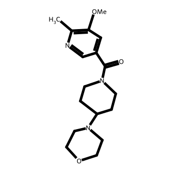 COc1cc(C(=O)N2CCC(N3CCOCC3)CC2)cnc1C